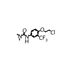 CN(C)C(=O)Nc1ccc(OCCCl)c(C(F)(F)F)c1